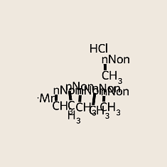 CCCCCCCCCC.CCCCCCCCCC.CCCCCCCCCC.CCCCCCCCCC.CCCCCCCCCC.CCCCCCCCCC.Cl.[Mn]